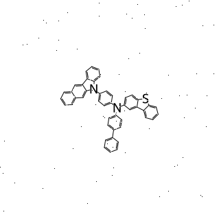 c1ccc(-c2ccc(N(c3ccc(-n4c5ccccc5c5cc6ccccc6cc54)cc3)c3ccc4sc5ccccc5c4c3)cc2)cc1